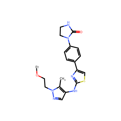 CCOCCn1ncc(Nc2nc(-c3ccc(N4CCNC4=O)cc3)cs2)c1C